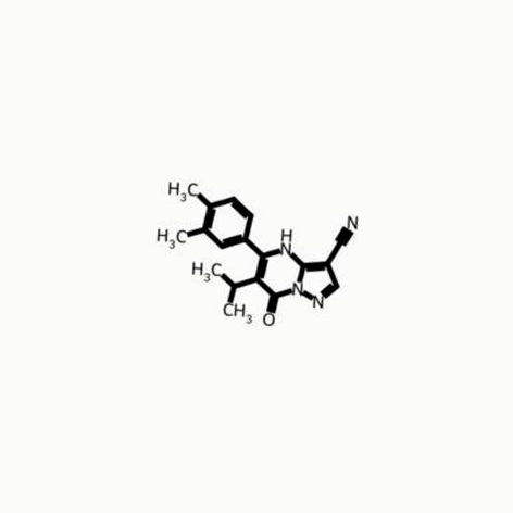 Cc1ccc(-c2[nH]c3c(C#N)cnn3c(=O)c2C(C)C)cc1C